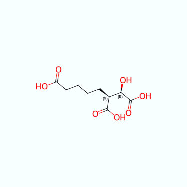 O=C(O)CCCC[C@H](C(=O)O)[C@@H](O)C(=O)O